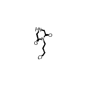 O=C1CNCC(=O)N1CCCCl